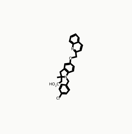 CC1(CC(=O)O)Cc2cc(OCc3ccc4ccccc4n3)ccc2N1Cc1ccc(Cl)cc1